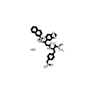 CCN(CC)Cc1ccc(CC(NC(=O)CC(NS(=O)(=O)c2ccc3ccccc3c2)c2ccc3c(c2)OCO3)C(=O)N(C)C(C)C)cc1.Cl